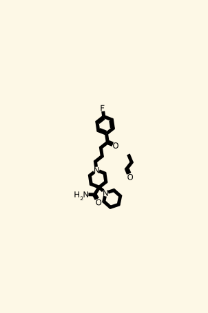 CCC=O.NC(=O)C1(N2CCCCC2)CCN(CCCC(=O)c2ccc(F)cc2)CC1